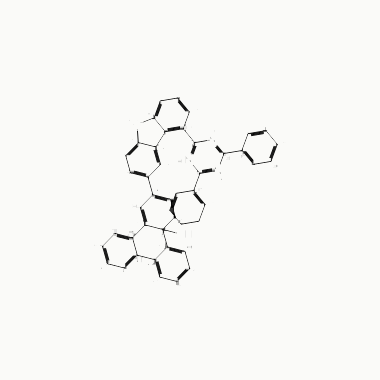 CC12CC=C(c3ccc4oc5cccc(-c6nc(C7=CCCC=C7)nc(-c7ccccc7)n6)c5c4c3)C=C1c1ccccc1-c1ccccc12